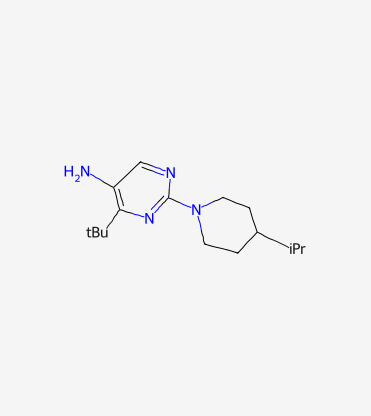 CC(C)C1CCN(c2ncc(N)c(C(C)(C)C)n2)CC1